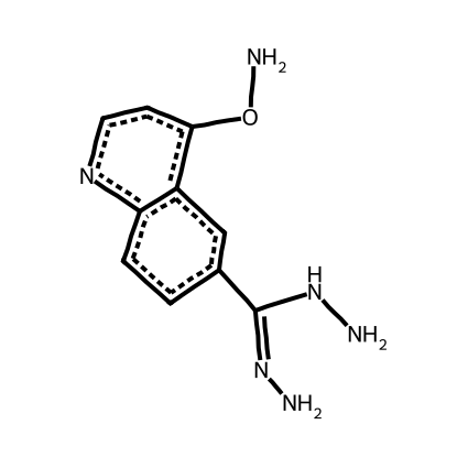 N/N=C(\NN)c1ccc2nccc(ON)c2c1